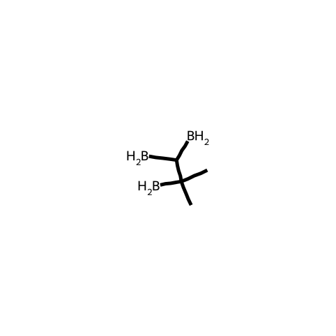 BC(B)C(B)(C)C